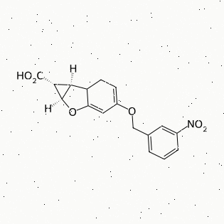 O=C(O)[C@H]1[C@@H]2OC3=CC(OCc4cccc([N+](=O)[O-])c4)=CCC3[C@@H]21